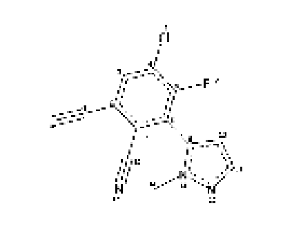 C#Cc1cc(Cl)c(F)c(-c2ccnn2C)c1C#N